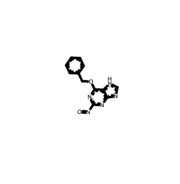 O=Nc1nc(OCc2ccccc2)c2[nH]cnc2n1